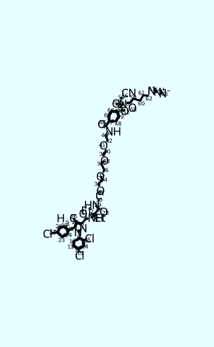 CCC(CC)(NC(=O)c1nn(-c2ccc(Cl)cc2Cl)c(-c2ccc(Cl)cc2)c1C)C(=O)NCCOCCOCCOCCOCCNC(=O)c1ccc(S(=O)(=O)N(CC#N)C(=O)CCCCN=[N+]=[N-])cc1